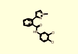 Cn1ccc(-c2c(C(=O)Nc3ccc(Cl)c(Cl)c3)c3ccc2o3)n1